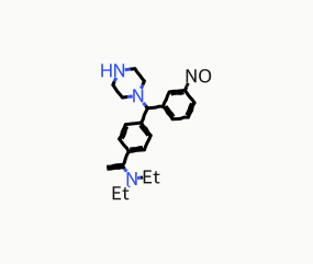 C=C(c1ccc(C(c2cccc(N=O)c2)N2CCNCC2)cc1)N(CC)CC